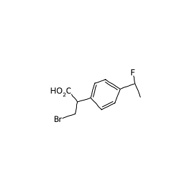 CC(F)c1ccc(C(CBr)C(=O)O)cc1